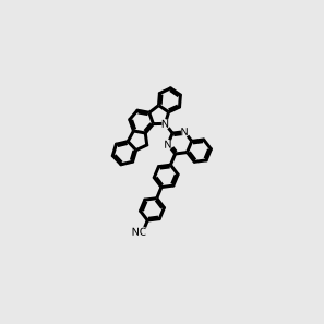 N#Cc1ccc(-c2ccc(-c3nc(-n4c5ccccc5c5ccc6c(c54)Cc4ccccc4-6)nc4ccccc34)cc2)cc1